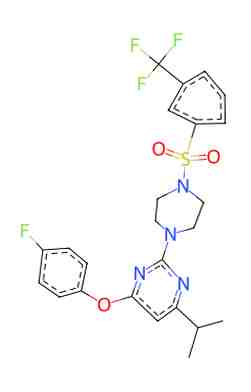 CC(C)c1cc(Oc2ccc(F)cc2)nc(N2CCN(S(=O)(=O)c3cccc(C(F)(F)F)c3)CC2)n1